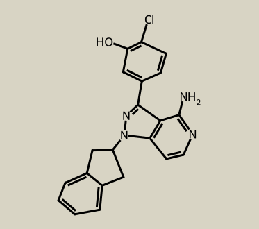 Nc1nccc2c1c(-c1ccc(Cl)c(O)c1)nn2C1Cc2ccccc2C1